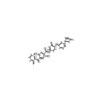 CC(C)N(/C=C(\C=O)C(=O)Nc1ccc(Oc2ccnc(-c3cnn(C)c3)c2)c(F)c1)C(=O)N(C)c1ccccc1F